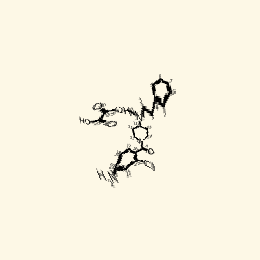 CN(CCc1ccccc1)C1CCN(C(=O)c2ccc(N)cc2Cl)CC1.O=C(O)C(=O)O